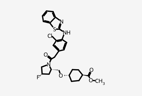 COC(=O)[C@H]1CC[C@H](OC[C@@H]2C[C@H](F)CN2C(=O)Cc2ccc(Nc3nc4ccccc4s3)c(Cl)c2)CC1